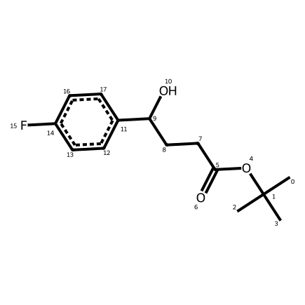 CC(C)(C)OC(=O)CCC(O)c1ccc(F)cc1